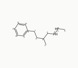 CPPCC(C)CCc1ccccc1